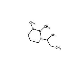 CCC(N)N1CCCN(C)N1C